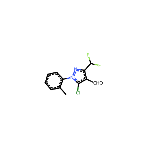 Cc1ccccc1-n1nc(C(F)F)c(C=O)c1Cl